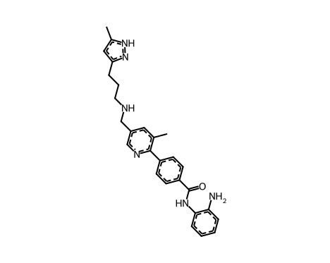 Cc1cc(CCCNCc2cnc(-c3ccc(C(=O)Nc4ccccc4N)cc3)c(C)c2)n[nH]1